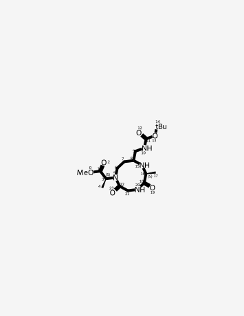 COC(=O)[C@H](C)N1CCC(CNC(=O)OC(C)(C)C)N[C@@H](C)C(=O)NCC1=O